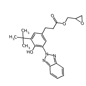 CC(C)(C)c1cc(CCC(=O)OCC2CO2)cc(-n2nc3ccccc3n2)c1O